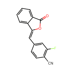 N#Cc1ccc(C=C2OC(=O)c3ccccc32)cc1F